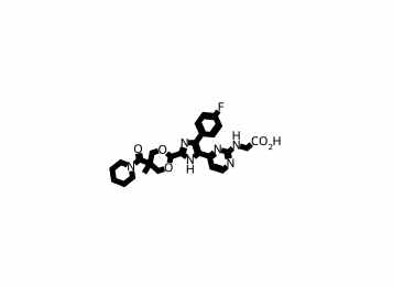 CC1(C(=O)N2CCCCC2)COC(c2nc(-c3ccc(F)cc3)c(-c3ccnc(NCC(=O)O)n3)[nH]2)OC1